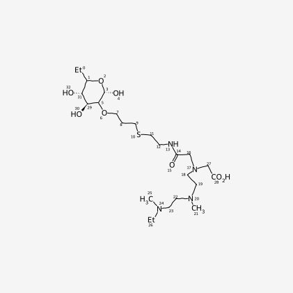 CCC1O[C@H](O)C(OCCCSCCNC(=O)CN(CCN(C)CCN(C)CC)CC(=O)O)[C@@H](O)[C@@H]1O